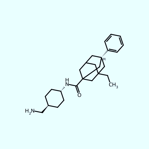 CCC12CC3CC(C(=O)N[C@H]4CC[C@H](CN)CC4)(C1)C[C@@](c1ccccc1)(C3)C2